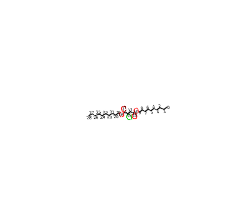 CCCCCCCCCCOC(=O)CC(Cl)C(=O)OCCCCCCCCCC